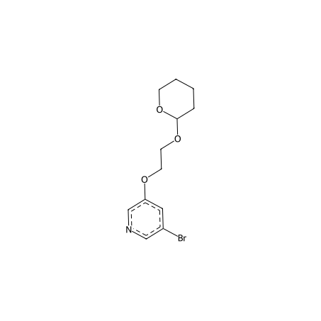 Brc1cncc(OCCOC2CCCCO2)c1